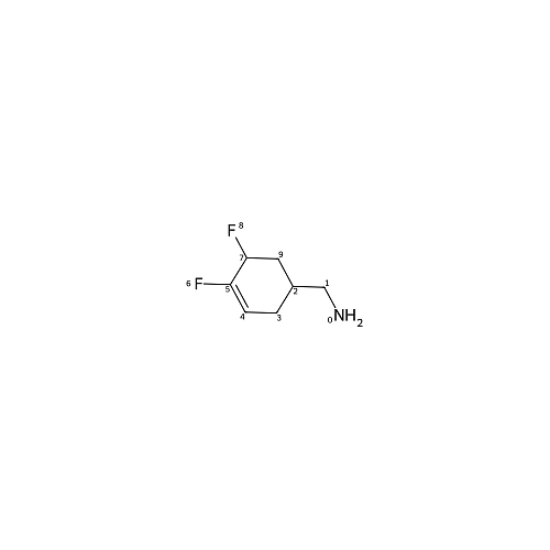 NCC1CC=C(F)C(F)C1